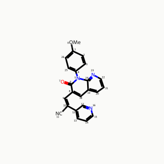 COc1ccc(-n2c(=O)c(C=C(C#N)c3cccnc3)cc3cccnc32)cc1